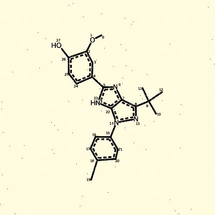 COc1cc(-c2nc3c(C(C)(C)C)nn(-c4ccc(C)cc4)c3[nH]2)ccc1O